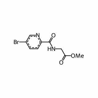 COC(=O)CNC(=O)c1ccc(Br)cn1